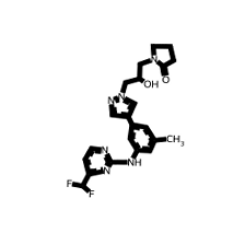 Cc1cc(Nc2nccc(C(F)F)n2)cc(-c2cnn(CC(O)CN3CCCC3=O)c2)c1